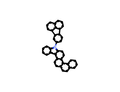 c1cc2c3c(cccc3c1)-c1cc(-n3c4ccccc4c4c5ccc6ccc7ccccc7c6c5ccc43)ccc1-2